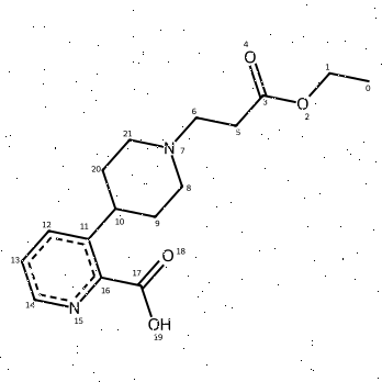 CCOC(=O)CCN1CCC(c2cccnc2C(=O)O)CC1